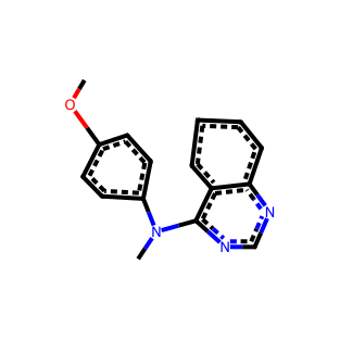 COc1ccc(N(C)c2ncnc3ccccc23)cc1